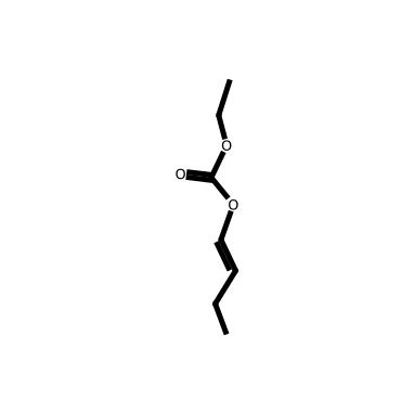 CCC=COC(=O)OCC